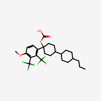 CCCC1CCC(C2CCC(SC(=O)O)(c3ccc(OC)c(C(F)(F)F)c3C(F)(F)F)CC2)CC1